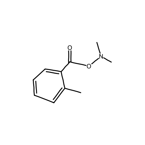 Cc1ccccc1C(=O)ON(C)C